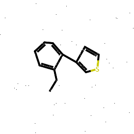 CCc1ccccc1-c1ccsc1